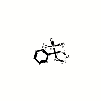 CCOC(OCC)(c1ccccc1)P(=O)(O)O